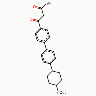 CCCCCCCCC1CCC(c2ccc(-c3ccc(C(=O)CC(=O)CCC)cc3)cc2)CC1